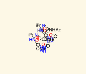 COc1cc(CC(=O)NC(CC(C)C)C2=NCC(CC(C)C(=O)O)O2)ccc1NC(=O)Nc1ccccc1C.COc1cc(CC(=O)NC(CC(C)C)C2=NCC(CC(NC(C)=O)C(=O)O)O2)ccc1NC(=O)Nc1ccccc1C